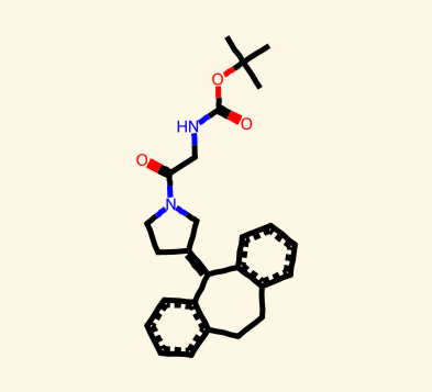 CC(C)(C)OC(=O)NCC(=O)N1CCC(=C2c3ccccc3CCc3ccccc32)C1